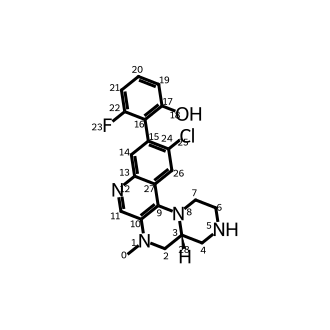 CN1C[C@H]2CNCCN2c2c1cnc1cc(-c3c(O)cccc3F)c(Cl)cc21